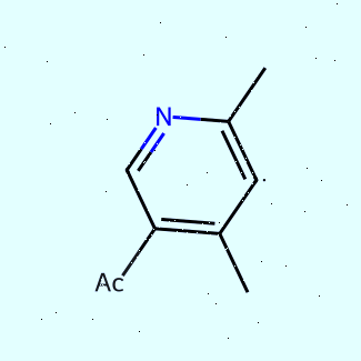 CC(=O)c1cnc(C)[c]c1C